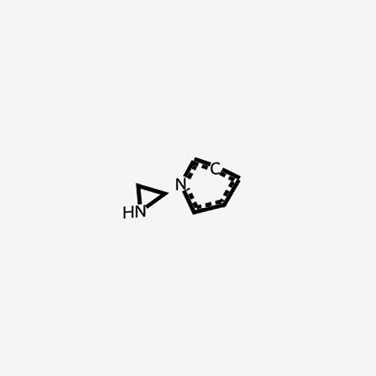 C1CN1.c1ccncc1